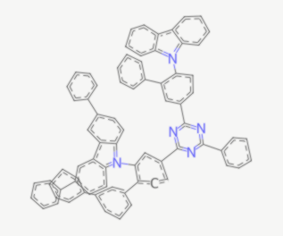 c1ccc(-c2cccc(-c3ccc(-c4nc(-c5ccccc5)nc(-c5ccc(-n6c7ccccc7c7ccccc76)c(-c6ccccc6)c5)n4)cc3-n3c4ccc(-c5ccccc5)cc4c4cc(-c5ccccc5)ccc43)c2)cc1